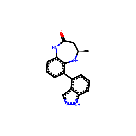 C[C@@H]1CC(=O)Nc2cccc(-c3cccc4[nH]ncc34)c2N1